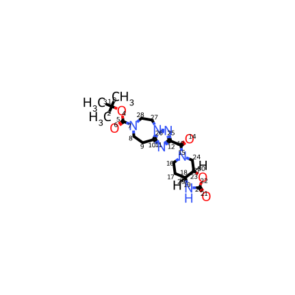 CC(C)(C)OC(=O)N1CCc2nc(C(=O)N3CC[C@H]4NC(=O)O[C@@H]4C3)nn2CC1